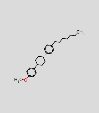 CCCCCCCc1ccc([C@H]2CC[C@H](c3ccc(OC)cc3)CC2)cc1